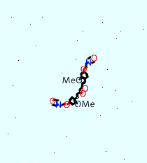 COc1cc(OCCN2CCOCC2)ccc1C=CC(=O)CC(=O)C=Cc1ccc(OCCN2CCOCC2)cc1OC